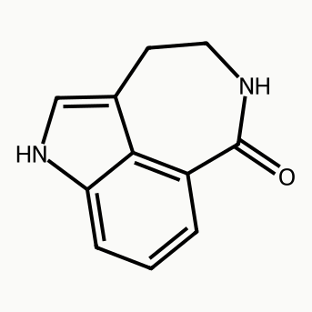 O=C1NCCc2c[nH]c3cccc1c23